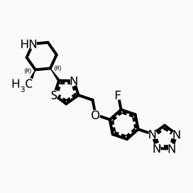 C[C@H]1CNCC[C@H]1c1nc(COc2ccc(-n3cnnn3)cc2F)cs1